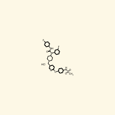 CS(=O)(=O)Nc1ccc(Oc2ccc(CN3CCC(N(C(=O)Nc4ccc(F)cc4)c4cccc(F)c4)CC3)cn2)cc1.Cl